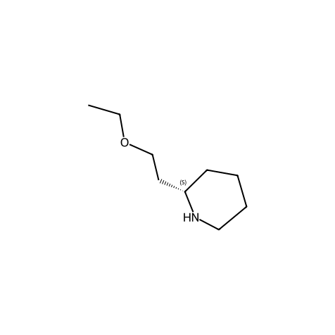 CCOCC[C@@H]1CCCCN1